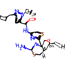 C[C@H]1C[C@H]2CSC(N)=NC2(c2nc(NC(=O)c3cc(C4CCC4)nn3C)cs2)CO1